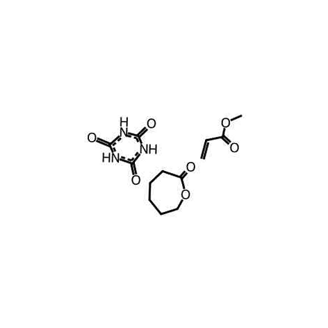 C=CC(=O)OC.O=C1CCCCCO1.O=c1[nH]c(=O)[nH]c(=O)[nH]1